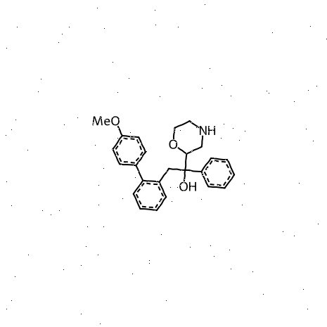 COc1ccc(-c2ccccc2CC(O)(c2ccccc2)C2CNCCO2)cc1